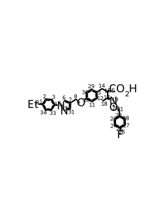 CCc1ccc(-n2cc(COc3ccc(CC(C(=O)O)/C(C)=N/OCc4ccc(F)cc4)cc3)cn2)cc1